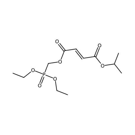 CCOP(=O)(COC(=O)/C=C/C(=O)OC(C)C)OCC